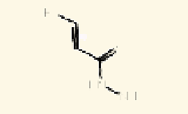 CC/C=C/C(=O)NN